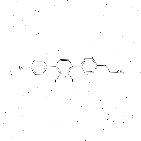 C=CCc1ccc(-c2ccc(-c3ccc(C)cc3)c(F)c2F)cc1